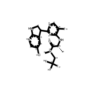 C[C@@H](Nc1nc(C2CNc3ncc(Cl)cc32)ncc1F)C(=O)N(C)CC(F)(F)F